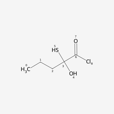 CCCC(O)(S)C(=O)Cl